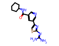 NC(N)=Nc1nc(-c2cncc(C(=O)NC3CCCCC3)c2)cs1